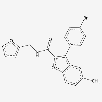 Cc1ccc2oc(C(=O)NCc3ccco3)c(-c3ccc(Br)cc3)c2c1